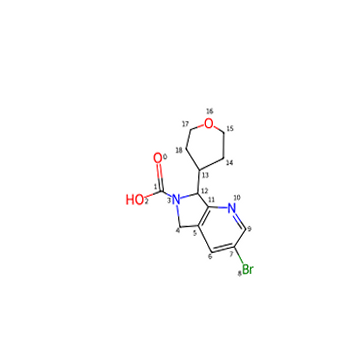 O=C(O)N1Cc2cc(Br)cnc2C1C1CCOCC1